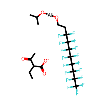 CC(C)[O][Al+][O]CCC(F)(F)C(F)(F)C(F)(F)C(F)(F)C(F)(F)C(F)(F)C(F)(F)C(F)(F)F.CCC(C(C)=O)C(=O)[O-]